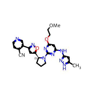 COCCOc1cc(Nc2cc(C)[nH]n2)nc(N2CCC[C@H]2c2cc(-c3cnccc3C#N)no2)n1